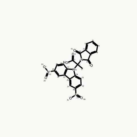 CC(C(=O)O)(N1C(=O)c2ccccc2C1=O)n1c2ccc([N+](=O)[O-])cc2c2cc([N+](=O)[O-])ccc21